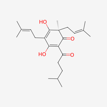 CC(C)=CCC1=C(O)[C@@](C)(CC=C(C)C)C(=O)C(C(=O)CCC(C)C)=C1O